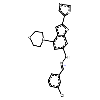 Clc1cccc(/C=N/Nc2cc(N3CCOCC3)c3cc(-c4cnco4)sc3c2)c1